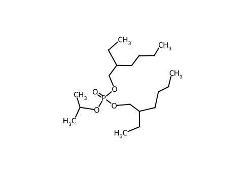 CCCCC(CC)COP(=O)(OCC(CC)CCCC)OC(C)C